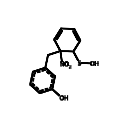 O=[N+]([O-])C1(Cc2cccc(O)c2)C=CC=CC1SO